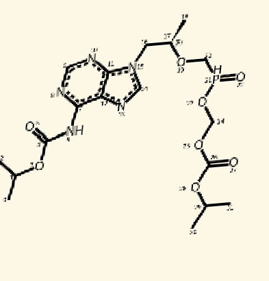 CC(C)OC(=O)Nc1ncnc2c1ncn2C[C@@H](C)OC[PH](=O)OCOC(=O)OC(C)C